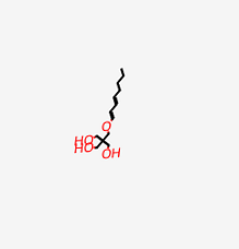 CCCCC=CC=COCC(CO)(CO)CO